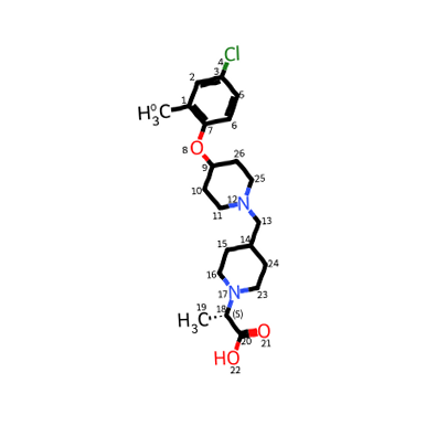 Cc1cc(Cl)ccc1OC1CCN(CC2CCN([C@@H](C)C(=O)O)CC2)CC1